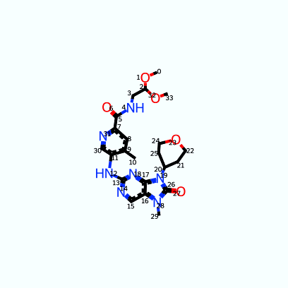 COC(CNC(=O)c1cc(C)c(Nc2ncc3c(n2)n(C2CCOCC2)c(=O)n3C)cn1)OC